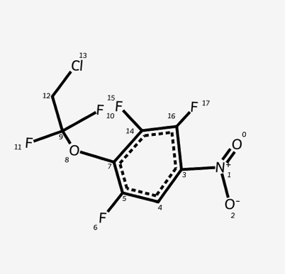 O=[N+]([O-])c1cc(F)c(OC(F)(F)CCl)c(F)c1F